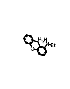 CCN(N)c1cccc2c1Cc1ccccc1O2